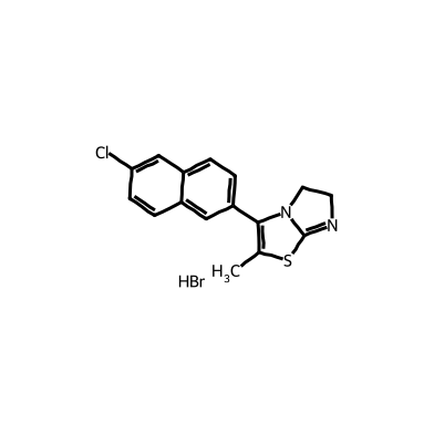 Br.CC1=C(c2ccc3cc(Cl)ccc3c2)N2CCN=C2S1